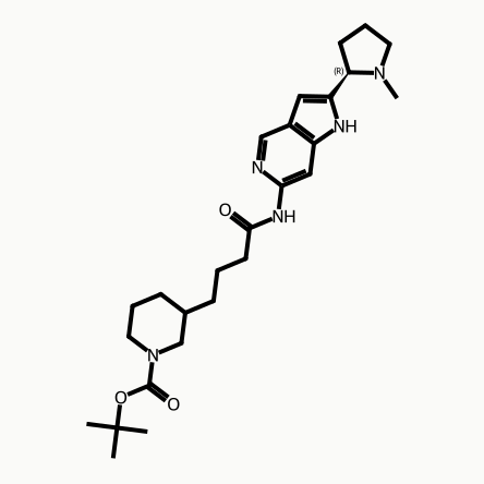 CN1CCC[C@@H]1c1cc2cnc(NC(=O)CCCC3CCCN(C(=O)OC(C)(C)C)C3)cc2[nH]1